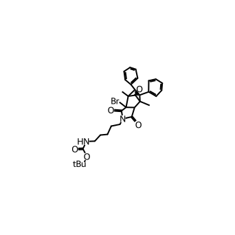 CC(C)(C)OC(=O)NCCCCCN1C(=O)C2C3(C)C(=O)C(C)(C(c4ccccc4)=C3c3ccccc3)C2(Br)C1=O